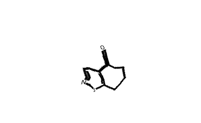 O=C1CCCc2sncc21